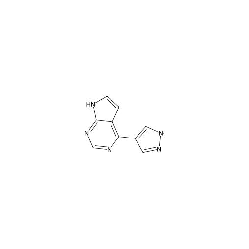 C1=N[N]C=C1c1ncnc2[nH]ccc12